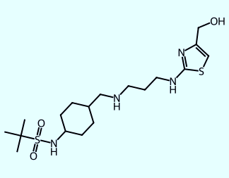 CC(C)(C)S(=O)(=O)NC1CCC(CNCCCNc2nc(CO)cs2)CC1